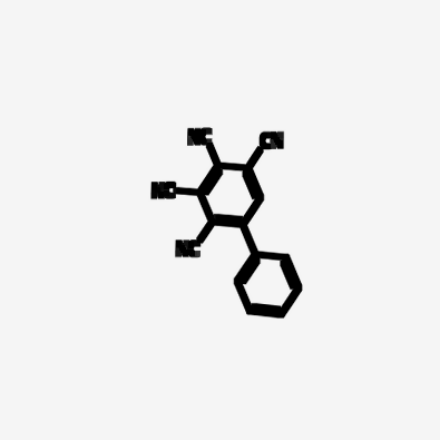 N#Cc1cc(-c2ccccc2)c(C#N)c(C#N)c1C#N